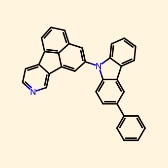 c1ccc(-c2ccc3c(c2)c2ccccc2n3-c2cc3c4c(cccc4c2)-c2ccncc2-3)cc1